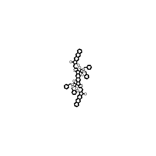 O=C1C(=Cc2cc3c(s2)C2=CC4C=C5C(=CC4C=C2C3(C(=O)OCc2ccccc2)C(=O)OCc2ccccc2)c2sc(C=C3C(=O)c4cc6cc7ccccc7cc6cc4C3=O)cc2C5(C(=O)OCc2ccccc2)C(=O)OCc2ccccc2)C(=O)c2cc3cc4ccccc4cc3cc21